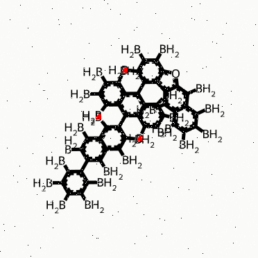 Bc1c(B)c(B)c(-c2c(B)c(B)c3c(B)c(-c4c5c(B)c(B)c(B)c(B)c5c(-c5c(B)c(B)c(B)c6oc7c(B)c8c(B)c(B)c(B)c(B)c8c(B)c7c56)c5c(B)c(B)c(B)c(B)c45)c(B)c(B)c3c2B)c(B)c1B